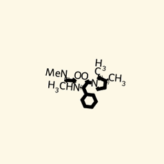 CN[C@@H](C)C(=O)N[C@H](C(=O)N1CC[C@H](C)[C@H]1C)C1CCCCC1